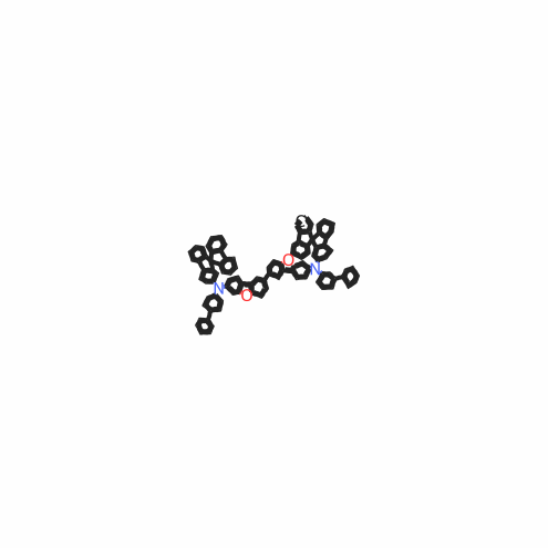 c1ccc(-c2ccc(N(c3ccc4c(c3)C3(c5ccccc5-c5ccccc53)c3ccccc3-4)c3ccc4c(c3)oc3ccc(-c5ccc6oc7cc(N(c8cccc(-c9ccccc9)c8)c8ccc9c(c8)C8(c%10ccccc%10-c%10ccccc%108)c8ccccc8-9)ccc7c6c5)cc34)cc2)cc1